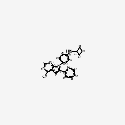 Clc1ncnc2c1cc(-c1ccccn1)n2-c1ccc(NC2CCC2)cc1